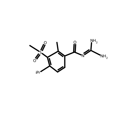 Cc1c(C(=O)N=C(N)N)ccc(C(C)C)c1S(C)(=O)=O